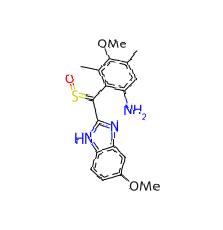 COc1ccc2[nH]c(C(=S=O)c3c(N)cc(C)c(OC)c3C)nc2c1